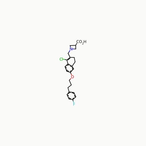 O=C(O)C1CN(CC2=C(Cl)c3ccc(OCCCc4ccc(F)cc4)cc3CC2)C1